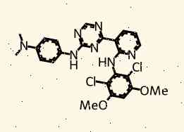 COc1cc(OC)c(Cl)c(Nc2ncccc2-c2ncnc(Nc3ccc(N(C)C)cc3)n2)c1Cl